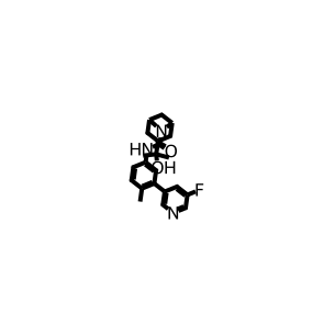 Cc1ccc(NC(=O)N2C3CC2CC(C(C)(C)O)C3)cc1-c1cncc(F)c1